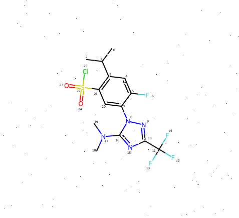 CC(C)c1cc(F)c(-n2nc(C(F)(F)F)nc2N(C)C)cc1S(=O)(=O)Cl